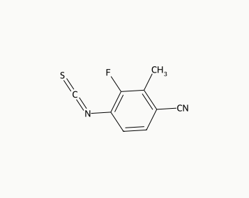 Cc1c(C#N)ccc(N=C=S)c1F